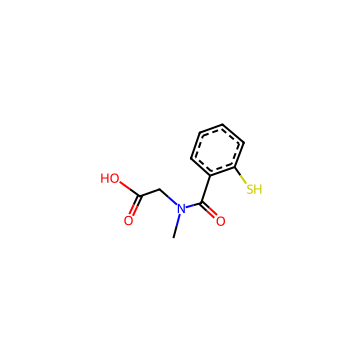 CN(CC(=O)O)C(=O)c1ccccc1S